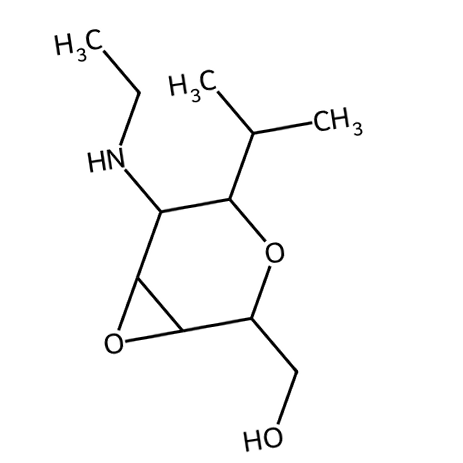 CCNC1C(C(C)C)OC(CO)C2OC12